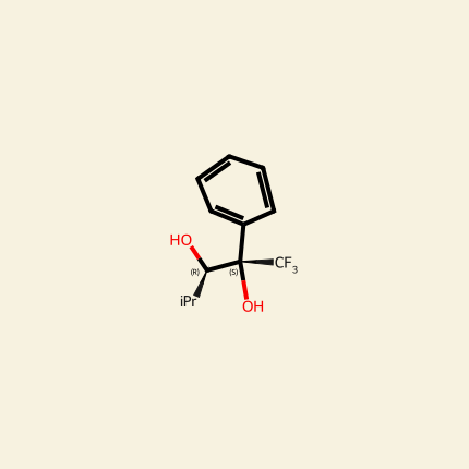 CC(C)[C@@H](O)[C@@](O)(c1ccccc1)C(F)(F)F